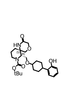 CC(C)(C)OC(=O)N1CCC[C@@]2(COCC(=O)N2)[C@@H]1COC1CCC(c2ccccc2O)CC1